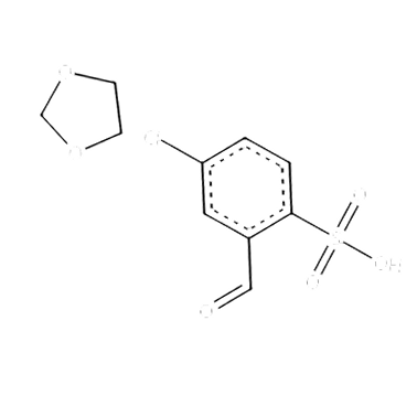 C1COCO1.O=Cc1cc(Cl)ccc1S(=O)(=O)O